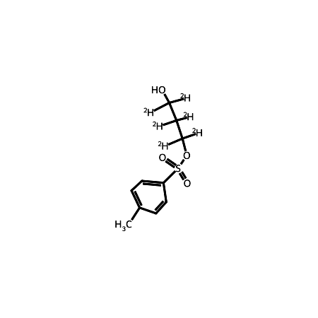 [2H]C([2H])(O)C([2H])([2H])C([2H])([2H])OS(=O)(=O)c1ccc(C)cc1